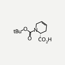 CC(C)(C)OC(=O)N1CC=CC[C@@H]1C(=O)O